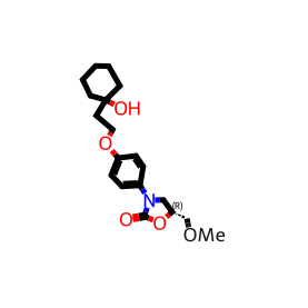 COC[C@H]1CN(c2ccc(OCCC3(O)CCCCC3)cc2)C(=O)O1